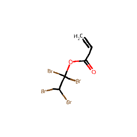 C=CC(=O)OC(Br)(Br)C(Br)Br